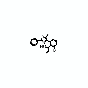 CCC(O)c1c(Br)cccc1-c1nc(-c2ccccc2)oc1C